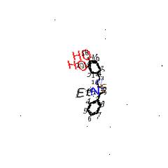 CC[n+]1c(-c2ccccc2)csc1/C=C/c1ccc(O)c(O)c1